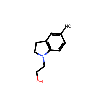 O=Nc1ccc2c(c1)CCN2CCO